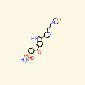 NS(=O)(=O)c1cccc(C(=O)c2ccc3c(-c4ccnc(CCCN5CCOCC5)c4)c[nH]c3c2)c1